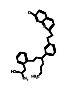 CC(O)Cc1ccccc1CCC(SCCC(=O)O)c1cccc(CCc2ccc3ccc(Cl)cc3n2)c1